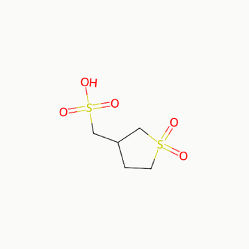 O=S(=O)(O)CC1CCS(=O)(=O)C1